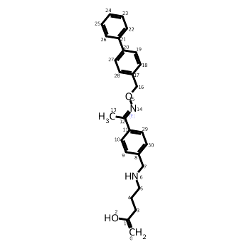 C=C(O)CCCNCc1ccc(/C(C)=N/OCc2ccc(-c3ccccc3)cc2)cc1